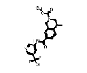 CCC(F)(F)c1cncc(NC(=O)c2ccc3c(c2)CN(C(=O)OC(C)(C)C)CC3C)c1